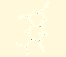 CC(C)C1Oc2c(Cl)cc(Cl)cc2NC1=O